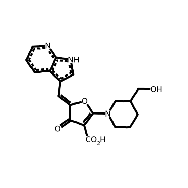 O=C(O)C1=C(N2CCCC(CO)C2)OC(=Cc2c[nH]c3ncccc23)C1=O